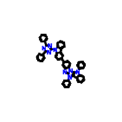 c1ccc(-c2nc(-c3ccccc3)nc(-n3c4ccccc4c4cc(-c5ccc6c(c5)nc5n(-c7ccccc7)c7c8ccccc8n(-c8ccccc8)c7n65)ccc43)n2)cc1